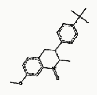 COc1ccc2c(c1)[N+](=O)C(C)C(c1ccc(C(C)(C)C)cc1)C2